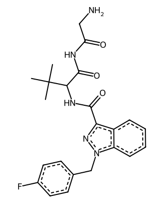 CC(C)(C)C(NC(=O)c1nn(Cc2ccc(F)cc2)c2ccccc12)C(=O)NC(=O)CN